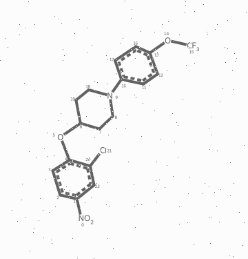 O=[N+]([O-])c1ccc(OC2CCN(c3ccc(OC(F)(F)F)cc3)CC2)c(Cl)c1